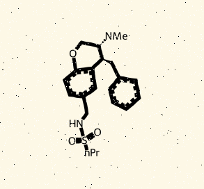 CCCS(=O)(=O)NCc1ccc2c(c1)[C@H](Cc1ccccc1)[C@@H](NC)CO2